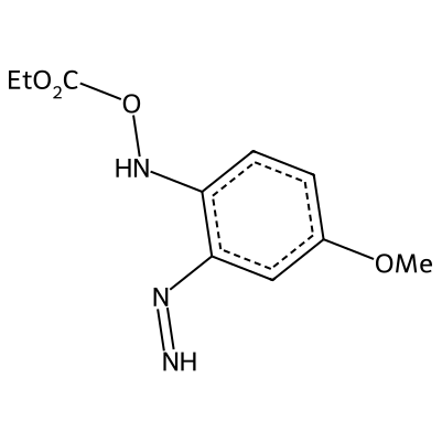 CCOC(=O)ONc1ccc(OC)cc1N=N